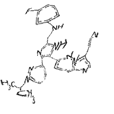 CC(C)n1ccc(-c2nc(CNc3cccc(F)c3)[nH]c2-c2ccc3ncc(C#N)n3n2)n1